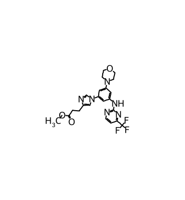 COC(=O)CCc1cn(-c2cc(Nc3nccc(C(F)(F)F)n3)cc(N3CCOCC3)c2)cn1